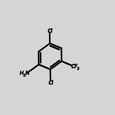 Nc1cc(Cl)cc(C(F)(F)F)c1Cl